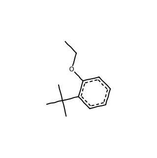 CCOc1ccccc1C(C)(C)C